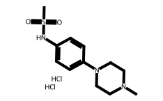 CN1CCN(c2ccc(NS(C)(=O)=O)cc2)CC1.Cl.Cl